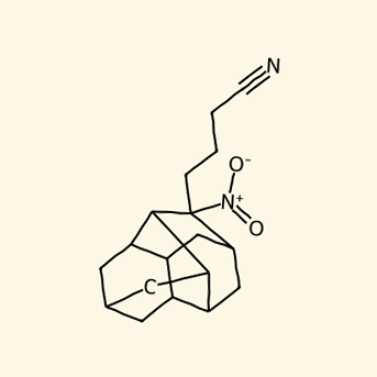 N#CCCCC1([N+](=O)[O-])C2CC3C4CC5CC3C1C(C5)C4C2